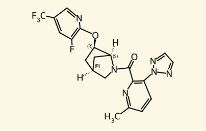 Cc1ccc(-n2nccn2)c(C(=O)N2C[C@H]3C[C@@H](Oc4ncc(C(F)(F)F)cc4F)[C@@H]2C3)n1